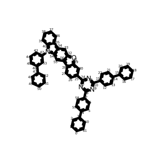 c1ccc(-c2ccc(-c3nc(-c4ccc(-c5ccccc5)cc4)nc(-c4ccc5c(c4)oc4cc6c7ccccc7n(-c7cccc(-c8ccccc8)c7)c6cc45)n3)cc2)cc1